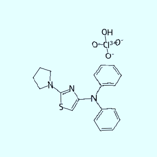 [O-][Cl+3]([O-])([O-])O.c1ccc(N(c2ccccc2)c2csc(N3CCCC3)n2)cc1